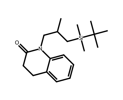 CC(CN1C(=O)CCc2ccccc21)C[Si](C)(C)C(C)(C)C